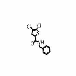 O=C(NCc1ccccc1)C1CC(Cl)=C(Cl)S1